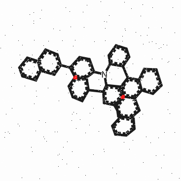 c1ccc(-c2ccc(N(c3ccc(-c4ccc5ccccc5c4)cc3)c3ccccc3-c3cc4ccccc4c4ccccc34)c(-c3ccccc3)c2)cc1